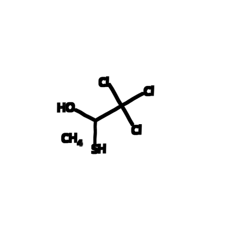 C.OC(S)C(Cl)(Cl)Cl